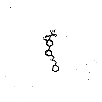 O=C(O)n1cnc2cc(-c3cccc(CNCC4CCCCC4)c3)ccc21